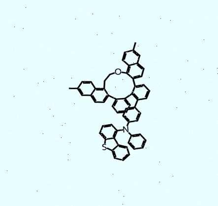 Cc1ccc2c3c(ccc2c1)-c1ccccc1-c1c(-c2ccc(N(c4ccccc4)c4cccc5sc6ccccc6c45)cc2)cccc1-c1ccc2cc(C)ccc2c1OCC3